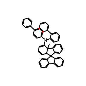 CC12C(N(c3ccc(-c4ccccc4)cc3)c3ccccc3-c3ccccc3)=CC=CC1C1(c3ccccc3-c3ccccc31)c1ccccc12